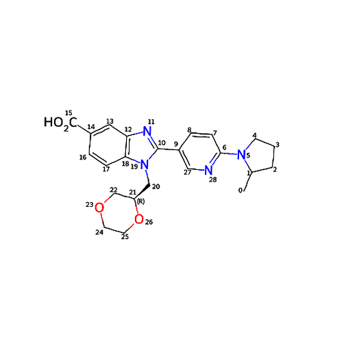 CC1CCCN1c1ccc(-c2nc3cc(C(=O)O)ccc3n2C[C@@H]2COCCO2)cn1